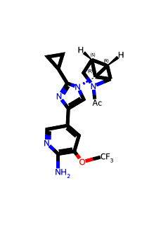 CC(=O)N1C[C@@H]2[C@@H]3C1[C@@]23n1cc(-c2cnc(N)c(OC(F)(F)F)c2)nc1C1CC1